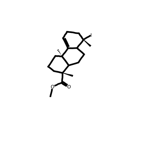 COC(=O)[C@]1(C)CCC[C@@]2(C)C3=CCC[C@](C)(I)C3CCC12